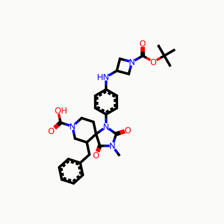 CN1C(=O)N(c2ccc(NC3CN(C(=O)OC(C)(C)C)C3)cc2)C2(CCN(C(=O)O)CC2Cc2ccccc2)C1=O